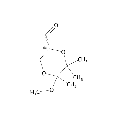 COC1(C)OC[C@H](C=O)OC1(C)C